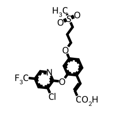 CS(=O)(=O)CCCOc1ccc(C=CC(=O)O)c(Oc2ncc(C(F)(F)F)cc2Cl)c1